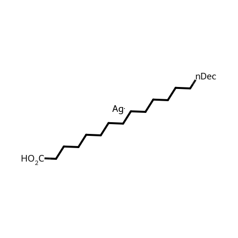 CCCCCCCCCCCCCCCCCCCCCCCC(=O)O.[Ag]